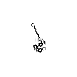 O=CCCC/C=C/CCCNc1ncnc2ccc(-c3cccnc3-c3cc(Cl)ccc3F)cc12